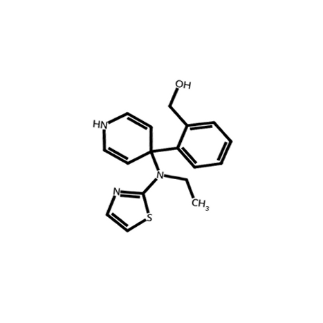 CCN(c1nccs1)C1(c2ccccc2CO)C=CNC=C1